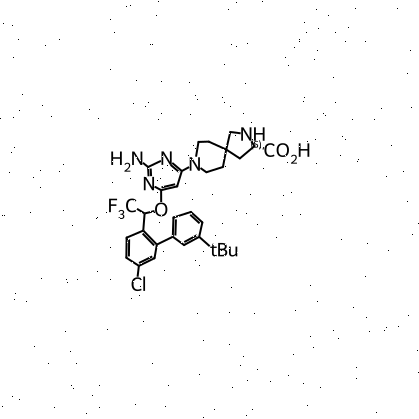 CC(C)(C)c1cccc(-c2cc(Cl)ccc2C(Oc2cc(N3CCC4(CC3)CN[C@H](C(=O)O)C4)nc(N)n2)C(F)(F)F)c1